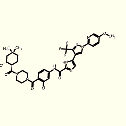 COc1ccc(-n2cc(-c3cnc(C(=O)Nc4ccc(C(=O)N5CCN(C(=O)[C@@H]6CC[N+](C)(C)C[C@H]6O)CC5)c(Cl)c4)[nH]3)c(C(F)(F)F)n2)nc1